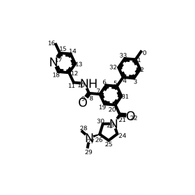 Cc1ccc(-c2cc(C(=O)NCc3ccc(C)nc3)cc(C(=O)N3CC[C@@H](N(C)C)C3)c2)cc1